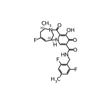 Cc1cc(F)c(CNC(=O)c2cn3c(c(O)c2=O)C(=O)N2C[C@@H]3C=C(F)C[C@@H]2C)c(F)c1